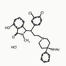 CC(=O)NC1(c2ccccc2)CCN(CCC(c2ccc(Cl)c(Cl)c2)C2c3cccc(O)c3C(=O)N2C)CC1.Cl